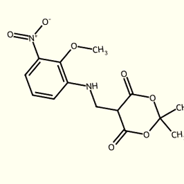 COc1c(NCC2C(=O)OC(C)(C)OC2=O)cccc1[N+](=O)[O-]